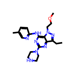 CCc1nn(CCOC)c2c(Nc3ccc(C)cn3)nc(N3CCNCC3)nc12